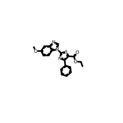 CCOC(=O)c1sc(-n2cnc3cc(OC)ccc32)nc1-c1ccccc1